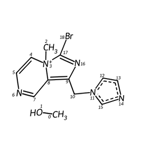 CO.C[N+]12C=CN=CC1=C(Cn1ccnc1)N=C2Br